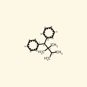 CC(C)C(C)(C)C(c1ccccc1)c1ccccc1